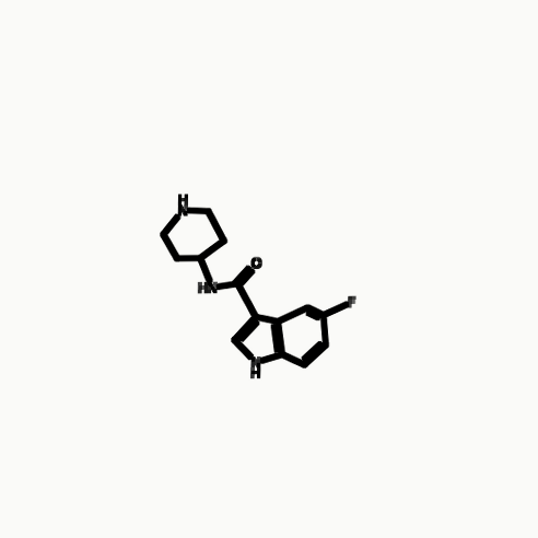 O=C(NC1CCNCC1)c1c[nH]c2ccc(F)cc12